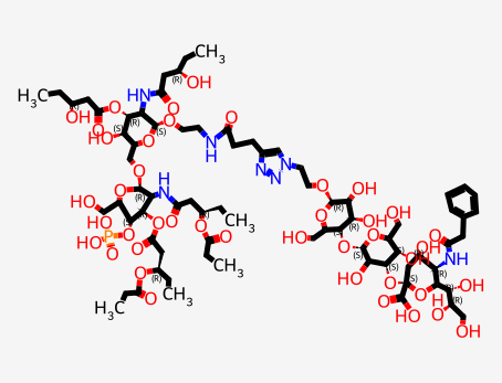 CCC(=O)O[C@H](CC)CC(=O)NC1[C@H](OCC2O[C@H](OCCNC(=O)CCc3cn(CCO[C@@H]4OC(CO)[C@@H](O[C@@H]5OC(CO)[C@H](O)[C@H](O[C@]6(C(=O)O)C[C@@H](O)[C@@H](NC(=O)Cc7ccccc7)C([C@H](O)[C@H](O)CO)O6)C5O)[C@H](O)C4O)nn3)C(NC(=O)C[C@H](O)CC)[C@@H](OC(=O)C[C@H](O)CC)[C@@H]2O)OC(CO)[C@@H](OP(=O)(O)O)[C@@H]1OC(=O)C[C@@H](CC)OC(=O)CC